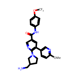 COc1ccc(-c2cc(C(=O)Nc3ccc(OC(F)(F)F)cc3)cnc2N2CCC(CN)C2)cn1